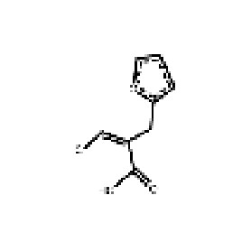 O=C(O)C(=CCl)Cc1ccco1